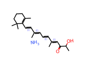 CC1=C(/C=C/C(C)=C/C=C/C(C)=C/C(=O)C(C)O)C(C)(C)CCC1.N